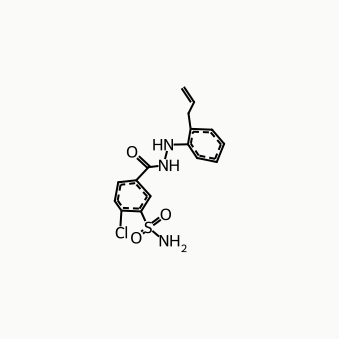 C=CCc1ccccc1NNC(=O)c1ccc(Cl)c(S(N)(=O)=O)c1